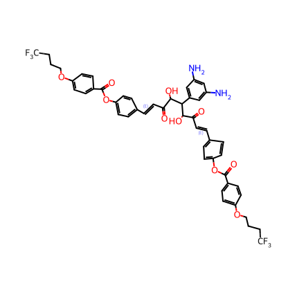 Nc1cc(N)cc(C(C(O)C(=O)/C=C/c2ccc(OC(=O)c3ccc(OCCCC(F)(F)F)cc3)cc2)C(O)C(=O)/C=C/c2ccc(OC(=O)c3ccc(OCCCC(F)(F)F)cc3)cc2)c1